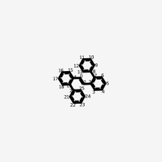 C(=C\c1ccccc1-c1ccccc1)/c1ccccc1-c1ccccc1